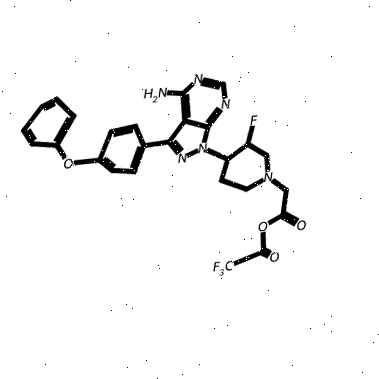 Nc1ncnc2c1c(-c1ccc(Oc3ccccc3)cc1)nn2C1CCN(CC(=O)OC(=O)C(F)(F)F)CC1F